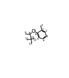 Cc1ccccc1OC(C)C(C)(C)C